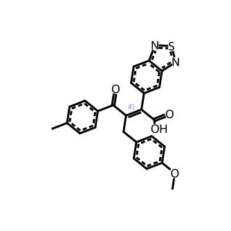 COc1ccc(C/C(C(=O)c2ccc(C)cc2)=C(\C(=O)O)c2ccc3nsnc3c2)cc1